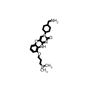 CN(C)CCCOc1cccc2c1Nc1nc(=O)n(C3CCC(CN)CC3)cc1O2